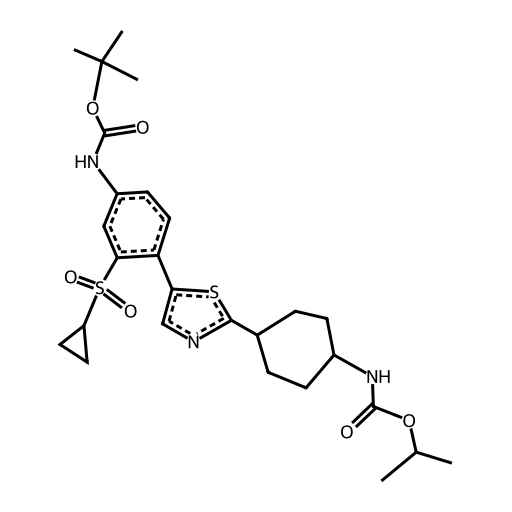 CC(C)OC(=O)NC1CCC(c2ncc(-c3ccc(NC(=O)OC(C)(C)C)cc3S(=O)(=O)C3CC3)s2)CC1